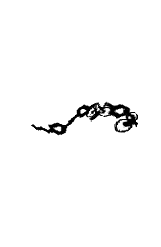 CCCCc1ccc(C#Cc2ccc(CN(Cc3ccc(OC(C)=O)cc3)S(=O)(=O)CC)cc2)cc1